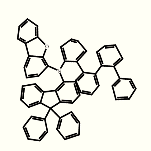 c1ccc(-c2ccccc2-c2ccccc2-c2ccccc2N(c2cccc3c2-c2ccccc2C3(c2ccccc2)c2ccccc2)c2cccc3c2oc2ccccc23)cc1